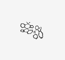 CC1(C)c2ccccc2C2(c3ccccc3-c3ccc(N(c4ccccc4)c4cccc5oc6ccccc6c45)cc32)c2ccccc21